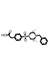 C[C@@H]1CN(S(=O)(=O)c2ccc(CC(=O)O)cc2)C[C@H](C)N1Cc1ccccc1